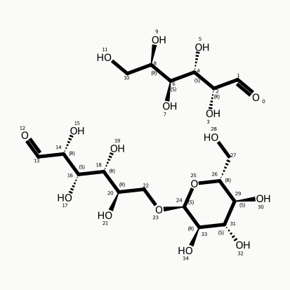 O=C[C@H](O)[C@@H](O)[C@@H](O)[C@H](O)CO.O=C[C@H](O)[C@@H](O)[C@H](O)[C@H](O)CO[C@H]1O[C@H](CO)[C@@H](O)[C@H](O)[C@H]1O